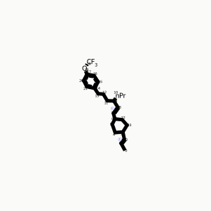 C/C=C/C1CCC(/C=C/C(CCC)CCCc2ccc(OC(F)(F)F)cc2)CC1